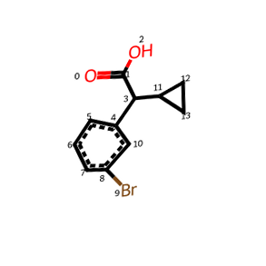 O=C(O)C(c1cccc(Br)c1)C1CC1